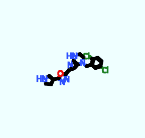 Clc1ccc(Cl)c(CN2CCNc3c2c2c(-c4nnc(C5CCNC5)o4)n3-2)c1